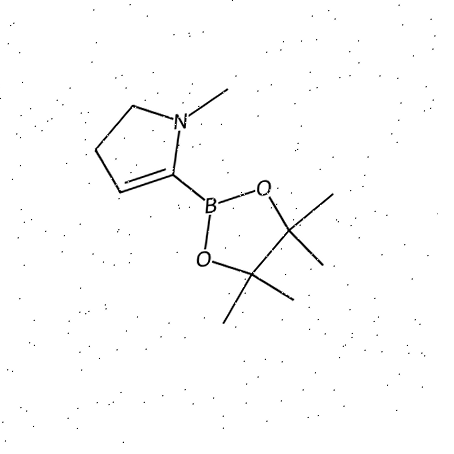 CN1CCC=C1B1OC(C)(C)C(C)(C)O1